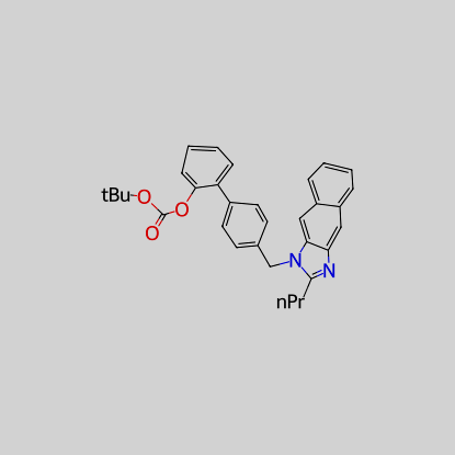 CCCc1nc2cc3ccccc3cc2n1Cc1ccc(-c2ccccc2OC(=O)OC(C)(C)C)cc1